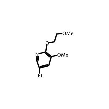 CCc1cnc(OCCOC)c(OC)c1